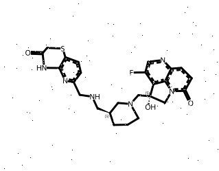 O=C1CSc2ccc(CNC[C@@H]3CCCN(C[C@]4(O)Cn5c(=O)ccc6ncc(F)c4c65)C3)nc2N1